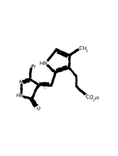 Cc1c[nH]c(/C=C2/C(=O)NN=C2C(C)C)c1CCC(=O)O